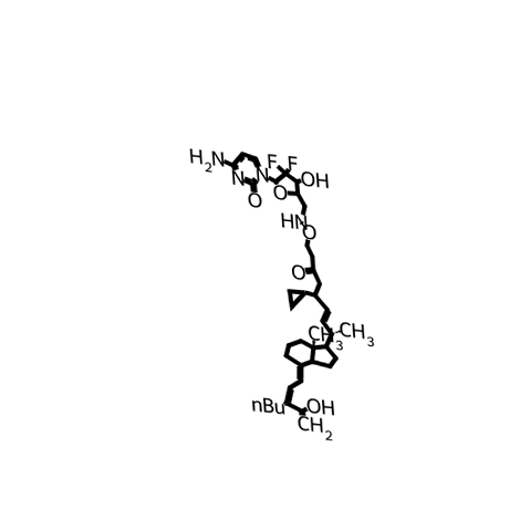 C=C(O)/C(=C\C=C1/CCC[C@@]2(C)C1CCC2[C@@H](C)/C=C/C(CC(=O)CCONCC1OC(n2ccc(N)nc2=O)C(F)(F)C1O)C1CC1)CCCC